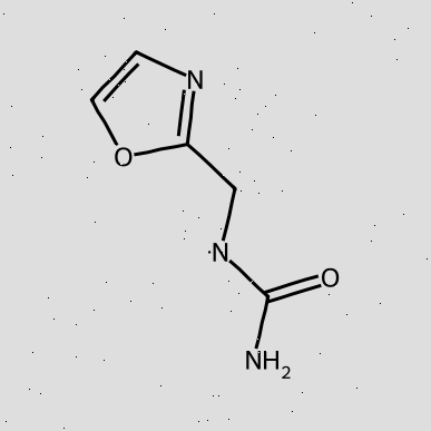 NC(=O)[N]Cc1ncco1